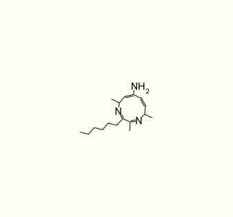 CCCCCCC1=N/C(C)/C=C(N)\C=C/C(C)/N=C\1C